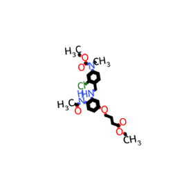 CCOC(=O)CCCOc1ccc(NC(C)=O)c(NCc2ccc(N(C)C(=O)OCC)cc2Cl)c1